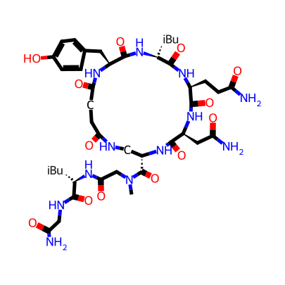 CC[C@@H](C)[C@@H](NC(=O)CN(C)C(=O)[C@@H]1CNC(=O)CCC(=O)N[C@@H](Cc2ccc(O)cc2)C(=O)N[C@@H]([C@@H](C)CC)C(=O)N[C@@H](CCC(N)=O)C(=O)N[C@@H](CC(N)=O)C(=O)N1)C(=O)NCC(N)=O